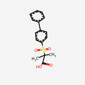 CC(C)(C(=O)O)S(=O)(=O)c1ccc(-c2ccccc2)cc1